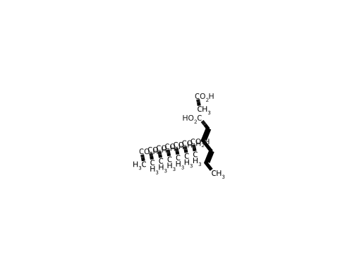 C/C=C/C=C/C(=O)O.CC(=O)O.CC(=O)O.CC(=O)O.CC(=O)O.CC(=O)O.CC(=O)O.CC(=O)O.CC(=O)O